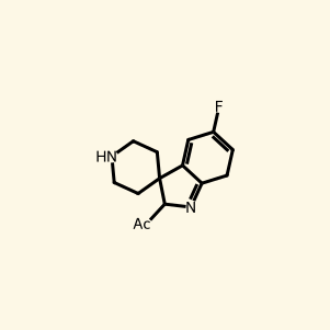 CC(=O)C1N=C2CC=C(F)C=C2C12CCNCC2